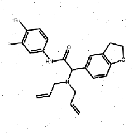 C=CCN(CC=C)C(C(=O)Nc1ccc(C(C)(C)C)c(F)c1)c1ccc2c(c1)CCO2